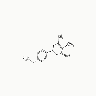 CCc1ccc(C2CC(=N)C(C)=C(C)C2)cc1